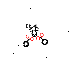 CCC1(C)C2CC2(C)C2(C)C3CC(C(OC(=O)c4ccccc4)C3OC(=O)c3ccccc3)C12C